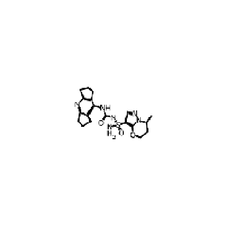 CC1CCOc2c(S(N)(=O)=NC(=O)Nc3c4c(nc5c3CCC5)CCC4)cnn21